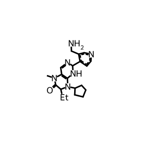 CCC1C(=O)N(C)C2=C(NC(c3ccncc3CN)N=C2)N1C1CCCC1